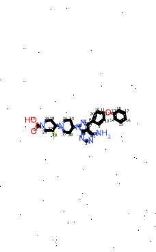 Nc1ncnc2c1c(-c1ccc(Oc3ccccc3)cc1)nn2C1CCN(C2CCN(C(=O)O)CC2F)CC1